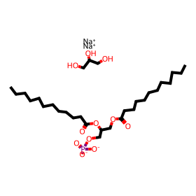 CCCCCCCCCCCC(=O)OCC(COP(=O)([O-])[O-])OC(=O)CCCCCCCCCCC.OCC(O)CO.[Na+].[Na+]